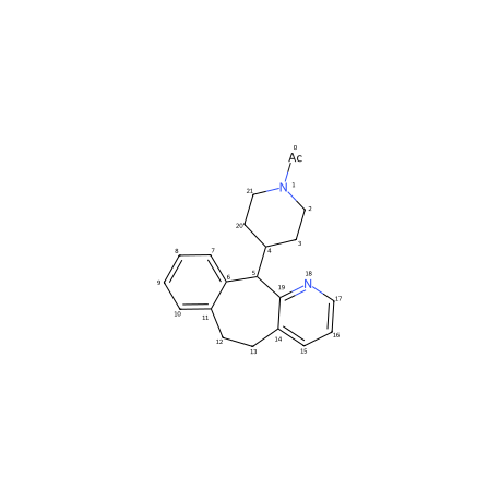 CC(=O)N1CCC(C2c3ccccc3CCc3cccnc32)CC1